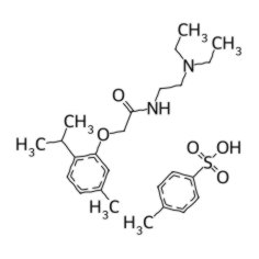 CCN(CC)CCNC(=O)COc1cc(C)ccc1C(C)C.Cc1ccc(S(=O)(=O)O)cc1